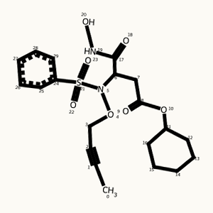 CC#CCON(C(CC(=O)OC1CCCCC1)C(=O)NO)S(=O)(=O)c1ccccc1